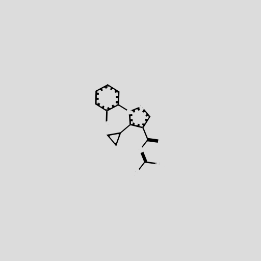 NC(N)=NC(=O)c1cnn(-c2ccccc2Br)c1C1CC1